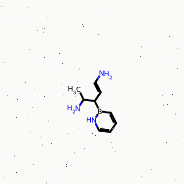 CC(N)C(C=CN)B1C=CC=CN1